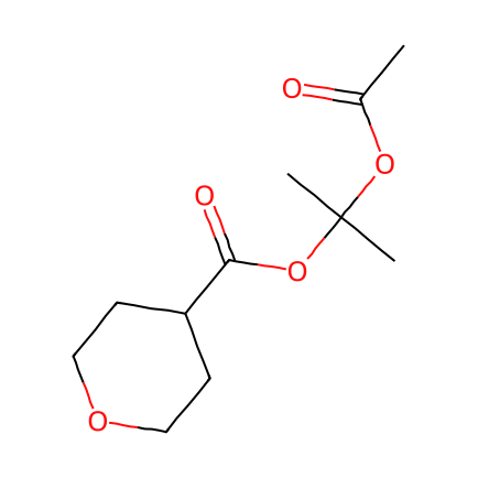 CC(=O)OC(C)(C)OC(=O)C1CCOCC1